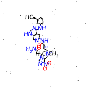 C#Cc1cccc(NC2=NCNc3cnc(NC(=O)/C=C/C[N+](C)(C)Cc4c([N+](=O)[O-])ncn4CCC(N)=O)cc32)c1